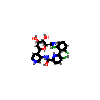 N#C[C@H]1OC(c2ccncc2NC(=O)c2ccc(F)c(-c3c(F)cccc3F)n2)=C[C@@H](O)[C@@H]1O